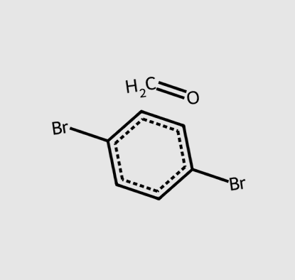 Brc1ccc(Br)cc1.C=O